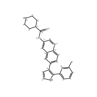 Cc1cccc(-c2[nH]ncc2-c2ccc3ncc(OC(=O)C4CCNCC4)cc3c2)n1